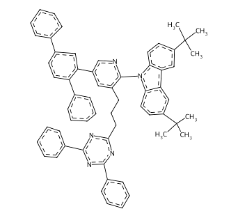 CC(C)(C)c1ccc2c(c1)c1cc(C(C)(C)C)ccc1n2-c1ncc(-c2cc(-c3ccccc3)ccc2-c2ccccc2)cc1CCCc1nc(-c2ccccc2)nc(-c2ccccc2)n1